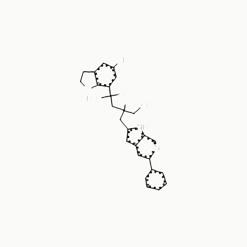 CCC(O)(Cc1cc2cc(-c3ccccc3)ncc2[nH]1)CC(C)(C)c1cc(Cl)cc2c1OCC2